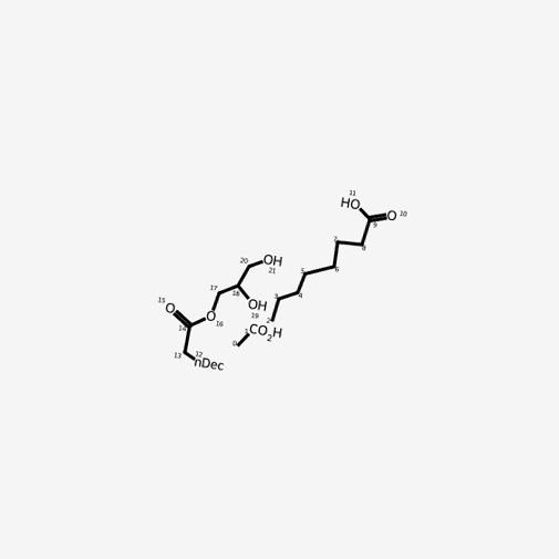 CC(=O)O.CCCCCCCC(=O)O.CCCCCCCCCCCC(=O)OCC(O)CO